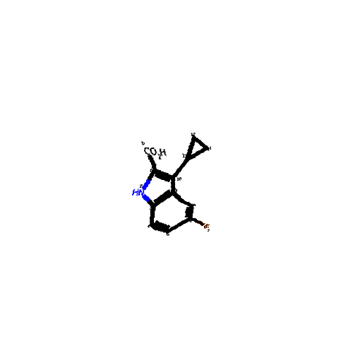 O=C(O)c1[nH]c2ccc(Br)cc2c1C1CC1